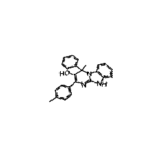 Cc1ccc(C2=C(O)C(C)(c3ccccc3)N3C(=N2)Nc2ccccc23)cc1